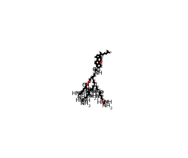 CC(C)CCCC(C)C1CCC2C3CC=C4CC(OC(=O)NCCCN(CCCNC(=O)C(N)CCCNC(=N)N)CCCN(CCCNC(=O)C(N)CCCNC(=N)N)CCCNC(=O)C(N)CCCNC(=N)N)CCC4(C)C3CCC12C